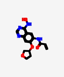 C=CC(=O)Nc1cc2c(NO)ncnc2cc1O[C@H]1CCOC1